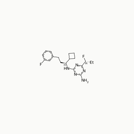 CC[C@@H](F)c1nc(N)nc(N[C@@H](CCc2cccc(F)c2)C2CCC2)n1